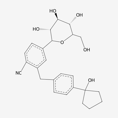 N#Cc1ccc(C2OC(CO)[C@@H](O)[C@H](O)[C@H]2O)cc1Cc1ccc(C2(O)CCCC2)cc1